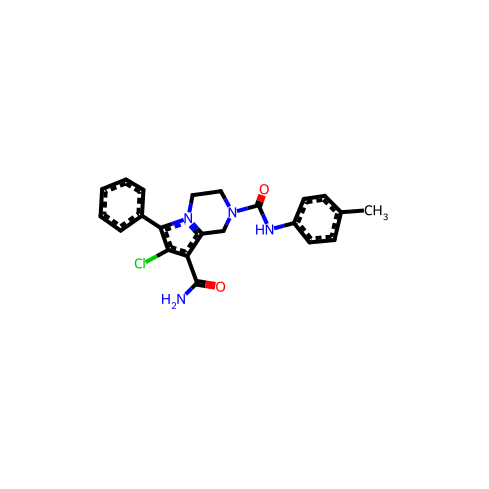 Cc1ccc(NC(=O)N2CCn3c(c(C(N)=O)c(Cl)c3-c3ccccc3)C2)cc1